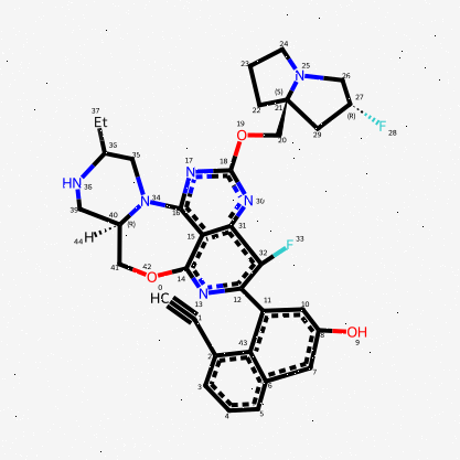 C#Cc1cccc2cc(O)cc(-c3nc4c5c(nc(OC[C@@]67CCCN6C[C@H](F)C7)nc5c3F)N3CC(CC)NC[C@@H]3CO4)c12